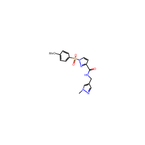 COc1ccc(S(=O)(=O)n2ccc(C(=O)NCc3cnn(C)c3)n2)cc1